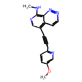 CNc1ncc(C#Cc2ccc(OC)cn2)c2ccnnc12